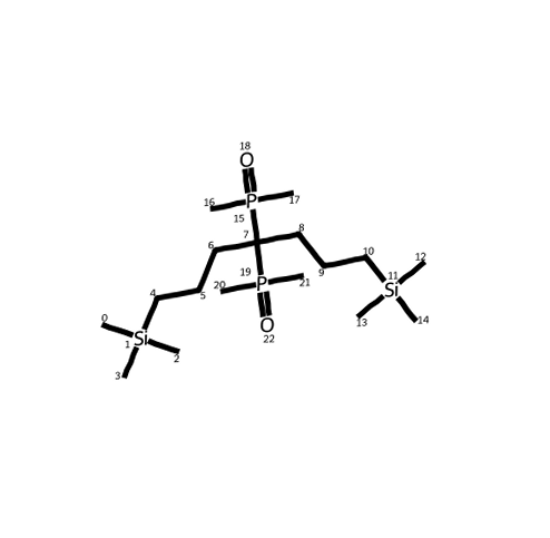 C[Si](C)(C)CCCC(CCC[Si](C)(C)C)(P(C)(C)=O)P(C)(C)=O